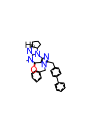 CN1C(=O)c2c(nc(Cc3ccc(-c4ccccc4)cc3)n2Cc2ccccc2)N2C1=N[C@@H]1CCCC12